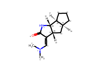 CN(C)C=C1C(=O)N[C@@H]2[C@H]3CCC[C@H]3C[C@H]12